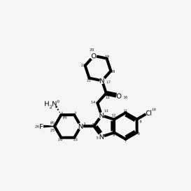 N[C@@H]1CN(c2nc3ccc(Cl)cc3n2CC(=O)N2CCOCC2)CC[C@H]1F